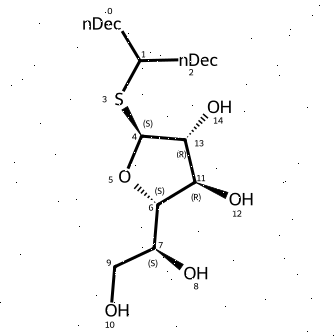 CCCCCCCCCCC(CCCCCCCCCC)S[C@@H]1O[C@@H]([C@@H](O)CO)[C@H](O)[C@H]1O